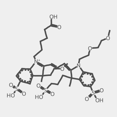 COCCOCCN1/C(=C/C=C/C2=[N+](CCCCCC(=O)O)c3ccc(S(=O)(=O)O)cc3C2(C)CCOC)C(C)(CCCS(=O)(=O)O)c2cc(S(=O)(=O)O)ccc21